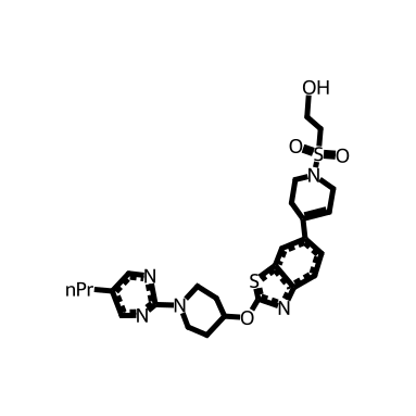 CCCc1cnc(N2CCC(Oc3nc4ccc(C5=CCN(S(=O)(=O)CCO)CC5)cc4s3)CC2)nc1